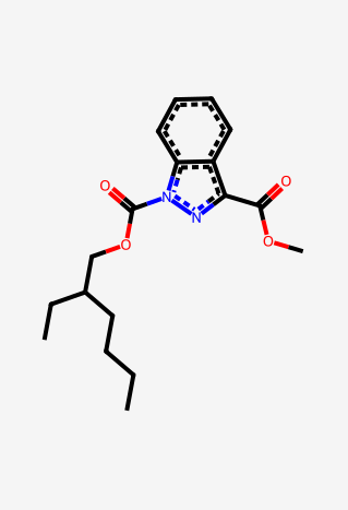 CCCCC(CC)COC(=O)n1nc(C(=O)OC)c2ccccc21